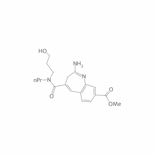 CCCN(CCCO)C(=O)C1=Cc2ccc(C(=O)OC)cc2N=C(N)C1